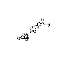 COc1cc(C)c(S(=O)(=O)NCCNC(=O)C(=O)NCc2ccc(NCCN(C)C)cc2)c(Cl)c1